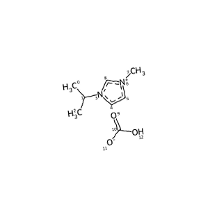 CC(C)n1cc[n+](C)c1.O=C([O-])O